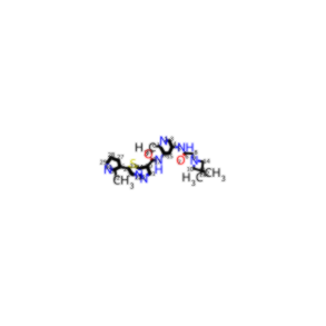 Cc1ncc(NC(=O)CN2CC(C)(C)C2)cc1NC(=O)c1cnn2cc(-c3cccnc3C)sc12